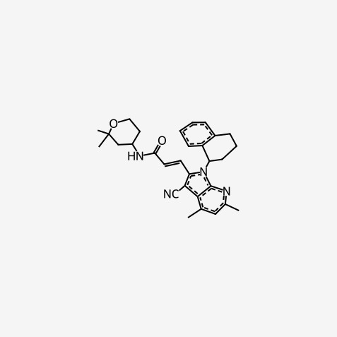 Cc1cc(C)c2c(C#N)c(C=CC(=O)NC3CCOC(C)(C)C3)n(C3CCCc4ccccc43)c2n1